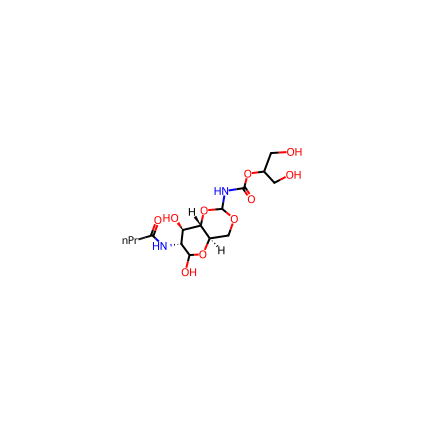 CCCC(=O)N[C@H]1C(O)O[C@@H]2COC(NC(=O)OC(CO)CO)O[C@H]2[C@@H]1O